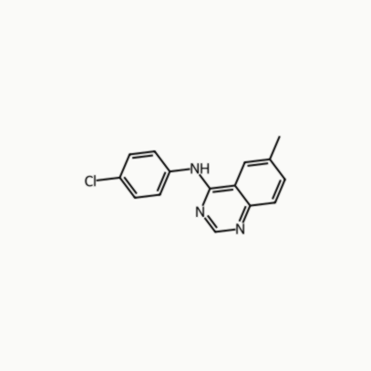 Cc1ccc2ncnc(Nc3ccc(Cl)cc3)c2c1